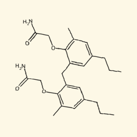 CCCc1cc(C)c(OCC(N)=O)c(Cc2cc(CCC)cc(C)c2OCC(N)=O)c1